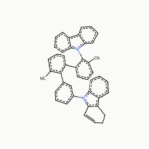 N#Cc1cccc(-c2cccc(C#N)c2-n2c3ccccc3c3ccccc32)c1-c1cccc(-n2c3c(c4ccccc42)CCC=C3)c1